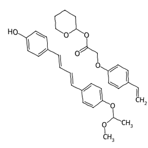 C=Cc1ccc(OCC(=O)OC2CCCCO2)cc1.COC(C)Oc1ccc(C=CC=Cc2ccc(O)cc2)cc1